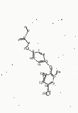 C=C(CC)COc1ccc(Oc2ncc(Cl)cc2F)cc1